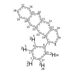 [2H]c1c([2H])c([2H])c(-c2cccc3cc4cc5ccccc5cc4cc23)c([2H])c1[2H]